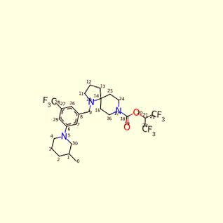 CC1CCCN(c2cc(CN3CCCC34CCN(C(=O)OC(C(F)(F)F)C(F)(F)F)CC4)cc(C(F)(F)F)c2)C1